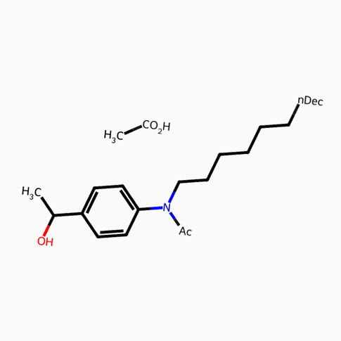 CC(=O)O.CCCCCCCCCCCCCCCCN(C(C)=O)c1ccc(C(C)O)cc1